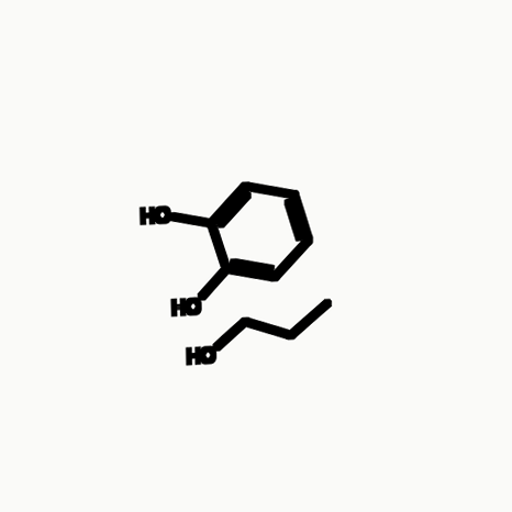 CCCO.Oc1ccccc1O